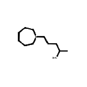 CC(S)CCCN1CCCCCC1